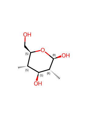 C[C@@H]1[C@@H](O)[C@H](C)[C@@H](CO)O[C@H]1O